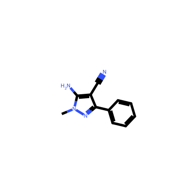 Cn1nc(-c2ccccc2)c(C#N)c1N